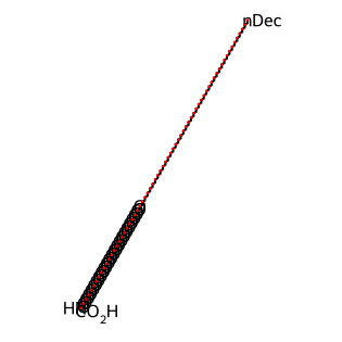 CCCCCCCCCCCCCCCCCCCCCCCCCCCCCCCCCCCCCCCCCCCCCCCCCCCCCCCCCCCCCCCCCCCCCCCCCCCCCCCCCCCCCCCCCCCCCOOOOOOOOOOOOOOOOOOOOOOOOOOOOOOOOOOOOOOOOOOOOOONC(=O)O